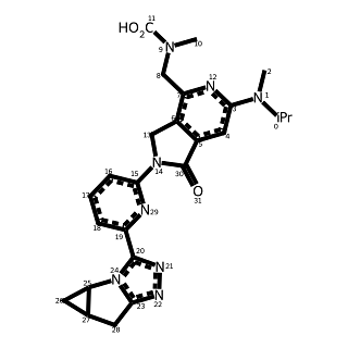 CC(C)N(C)c1cc2c(c(CN(C)C(=O)O)n1)CN(c1cccc(-c3nnc4n3C3CC3C4)n1)C2=O